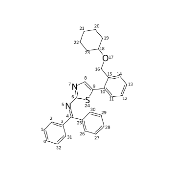 c1ccc(C(=Nc2ncc(-c3ccccc3COC3CCCCC3)s2)c2ccccc2)cc1